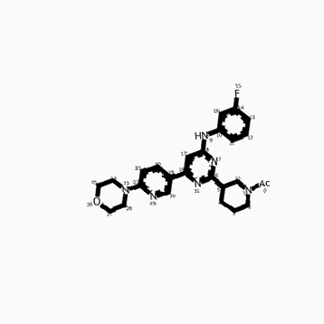 CC(=O)N1CCCC(c2nc(Nc3cccc(F)c3)cc(-c3ccc(N4CCOCC4)nc3)n2)C1